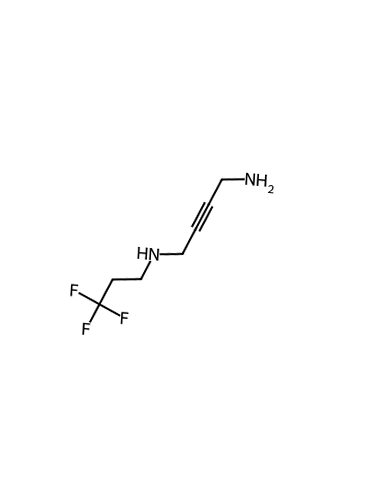 NCC#CCNCCC(F)(F)F